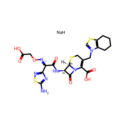 Nc1nc(/C(=N\OCC(=O)O)C(=O)N[C@@H]2C(=O)N3C(C(=O)O)=C(C[n+]4csc5c4CCCC5)CS[C@H]23)ns1.[NaH]